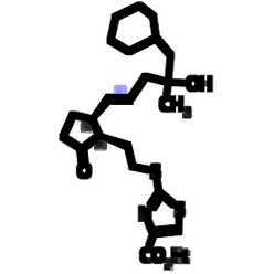 CCOC(=O)c1csc(SCC[C@H]2C(=O)CC[C@H]2/C=C/CC(C)(O)CC2CCCCC2)n1